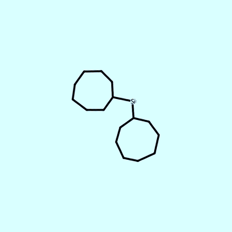 C1CCCC([Si]C2CCCCCCC2)CCC1